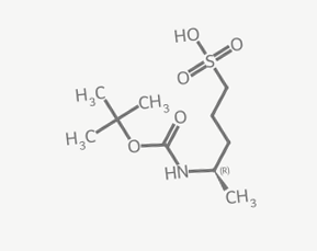 C[C@H](CCCS(=O)(=O)O)NC(=O)OC(C)(C)C